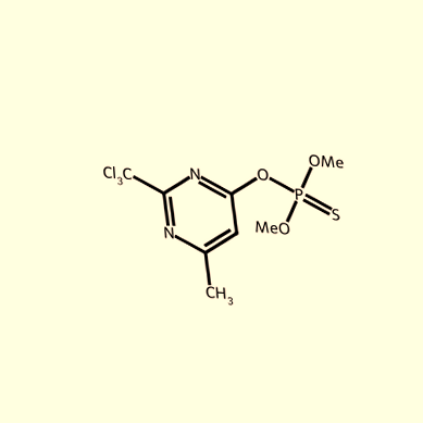 COP(=S)(OC)Oc1cc(C)nc(C(Cl)(Cl)Cl)n1